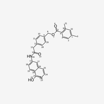 Cc1ccc(C(=O)OCc2ccc(CC(=O)Nc3ccc4c(O)nccc4c3)cc2)c(C)c1